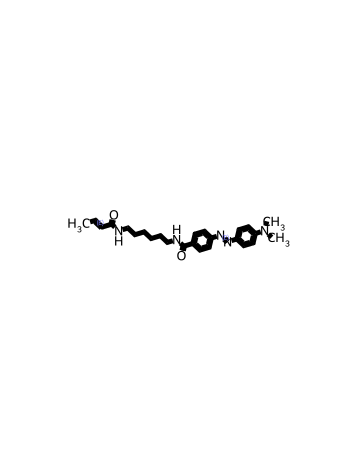 C/C=C/C(=O)NCCCCCCNC(=O)c1ccc(/N=N/c2ccc(N(C)C)cc2)cc1